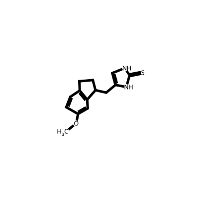 COc1ccc2c(c1)C(Cc1c[nH]c(=S)[nH]1)CC2